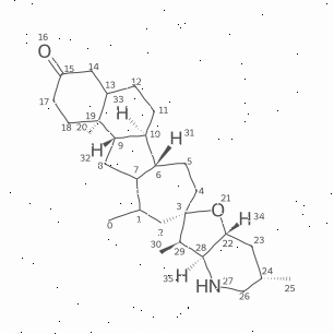 CC1C[C@]2(CC[C@@H]3C1C[C@H]1[C@H]3CCC3CC(=O)CC[C@@]31C)O[C@@H]1C[C@H](C)CN[C@H]1[C@H]2C